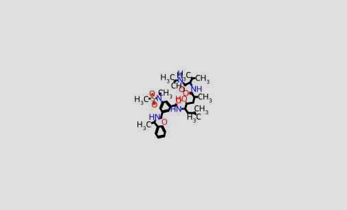 CC(C)CC(NC(=O)c1cc(C(=O)NC(C)c2ccccc2)cc(N(C)S(C)(=O)=O)c1)C(O)CC(C)C(=O)NC(C(=O)NC(C)C)C(C)C